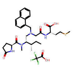 CC[C@H](C)[C@@H](CN(CC(=O)N[C@@H](CCSC)C(=O)O)Cc1cccc2ccccc12)N(C)C(=O)[C@@H]1CCC(=O)N1.O=C(O)C(F)(F)F